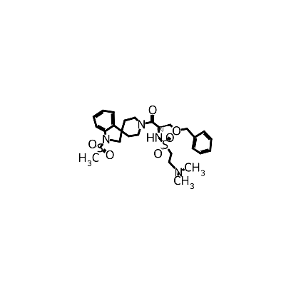 CN(C)CCS(=O)(=O)N[C@H](COCc1ccccc1)C(=O)N1CCC2(CC1)CN(S(C)(=O)=O)c1ccccc12